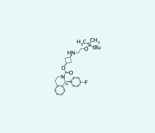 CC(C)(C)[Si](C)(C)OCCN[C@H]1C[C@@H](OC(=O)N2CCc3ccccc3[C@@H]2c2ccc(F)cc2)C1